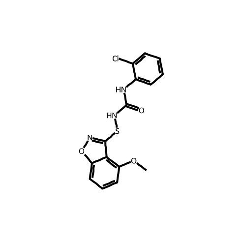 COc1cccc2onc(SNC(=O)Nc3ccccc3Cl)c12